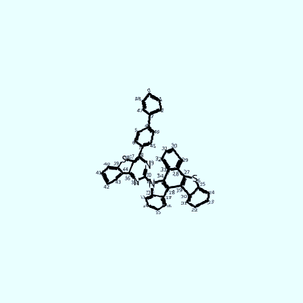 c1ccc(-c2ccc(-c3nc(-n4c5ccccc5c5c6c7ccccc7sc6c6ccccc6c54)nc4c3sc3ccccc34)cc2)cc1